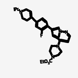 CCOC(=O)N1CCN(c2ccnn3cc(-c4ccc(C5=CCN(C(C)C)CC5)cc4F)cc23)CC1